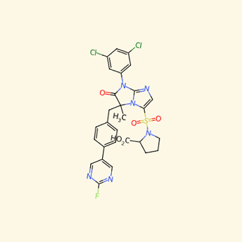 CC1(Cc2ccc(-c3cnc(F)nc3)cc2)C(=O)N(c2cc(Cl)cc(Cl)c2)c2ncc(S(=O)(=O)N3CCCC3C(=O)O)n21